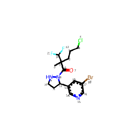 CC(CCCCl)(C(=O)N1NCCC1c1cncc(Br)c1)C(F)F